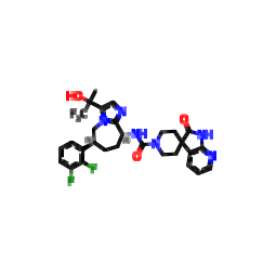 CC(O)(c1cnc2n1C[C@H](c1cccc(F)c1F)CC[C@H]2NC(=O)N1CCC2(CC1)C(=O)Nc1ncccc12)C(F)(F)F